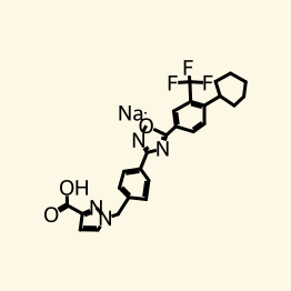 O=C(O)c1ccn(Cc2ccc(-c3noc(-c4ccc(C5CCCCC5)c(C(F)(F)F)c4)n3)cc2)n1.[Na]